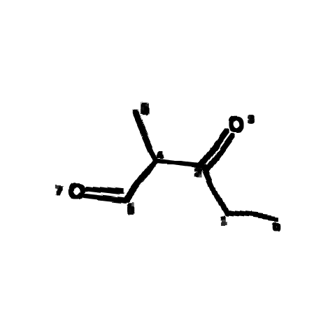 CCC(=O)C(C)C=O